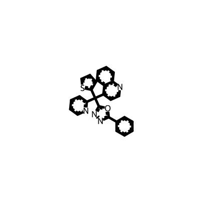 c1ccc(-c2nnc(C(c3ccccn3)(c3cccs3)c3ccnc4ccccc34)o2)cc1